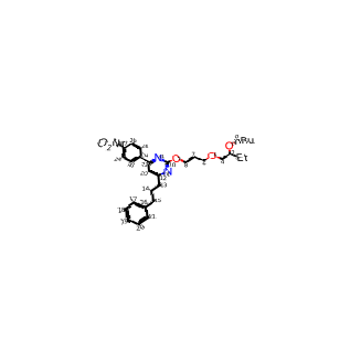 CCCCOC(CC)COCCCOc1nc(CCCc2ccccc2)cc(-c2ccc([N+](=O)[O-])cc2)n1